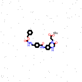 CC(C)(C)OC(=O)CCN1Cc2cc(NC(=O)c3ccc(C=NNC(=O)OCc4ccccc4)cc3)ccc2NCC1=O